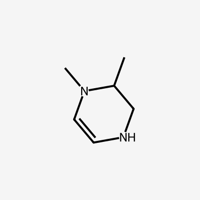 CC1CNC=CN1C